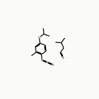 CC(C)CC=O.Cc1cc(OC(C)C)ccc1N=[N+]=[N-]